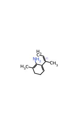 C/C=C(/C)C1=CCCC(C)=C1N